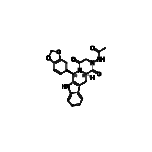 CC(=O)NN1CC(=O)N2[C@H](c3ccc4c(c3)OCO4)c3[nH]c4ccccc4c3C[C@@H]2C1=O